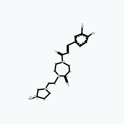 O=C(C=Cc1ccc(Cl)c(Cl)c1)N1CCC(=O)N(CCN2CC[C@@H](O)C2)CC1